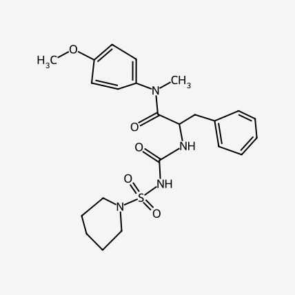 COc1ccc(N(C)C(=O)C(Cc2ccccc2)NC(=O)NS(=O)(=O)N2CCCCC2)cc1